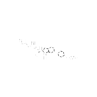 COc1ccc(-c2ccc3cc(C(=O)NC[C@@H](N)CCCN)[nH]c3c2)cc1